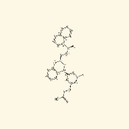 Cc1cc(OCC(=O)O)cc([C@@H]2C[C@H](CN[C@H](C)c3cccc4ccccc34)Oc3ccccc32)c1